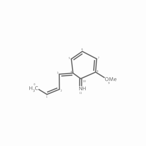 C/C=C\C=C1\C=CC=C(OC)C1=N